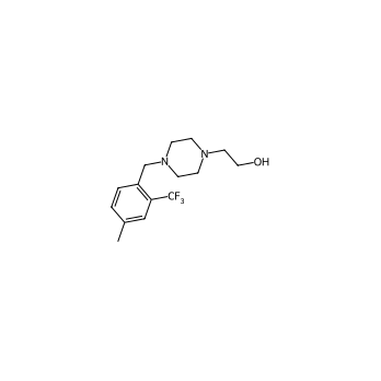 Cc1ccc(CN2CCN(CCO)CC2)c(C(F)(F)F)c1